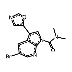 CN(C)C(=O)n1cc(-c2cnco2)c2cc(Br)cnc21